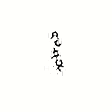 C[C@@H]1OCC2(CCN(c3ncc(Sc4ccnc5c4OC[C@H]4CCCN54)nc3CO)CC2)[C@@H]1N